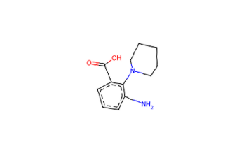 Nc1cccc(C(=O)O)c1N1CCCCC1